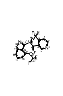 CN(C(=O)c1cnccc1C(F)(F)F)c1nsc2cccc(OC(F)F)c12